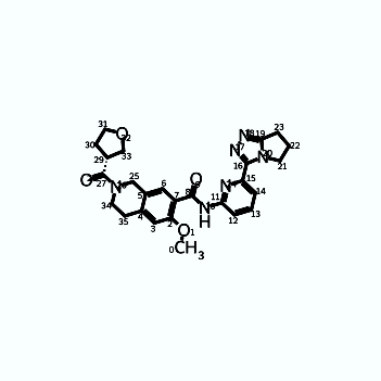 COc1cc2c(cc1C(=O)Nc1cccc(-c3nnc4n3CCC4)n1)CN(C(=O)[C@@H]1CCOC1)CC2